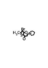 Cc1sc2c(=O)cc(N3CCCCC3)oc2c1Br